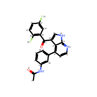 CC(=O)Nc1cccc(-c2ccnc3[nH]cc(C(=O)c4cc(F)ccc4F)c23)c1